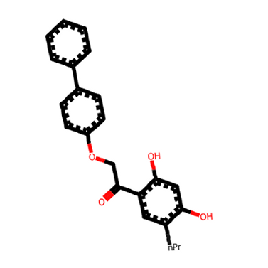 CCCc1cc(C(=O)COc2ccc(-c3ccccc3)cc2)c(O)cc1O